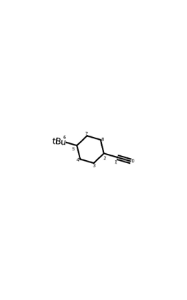 C#CC1CCC(C(C)(C)C)CC1